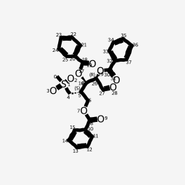 CS(=O)(=O)C[C@@H](COC(=O)c1ccccc1)[C@@H](OC(=O)c1ccccc1)[C@H](C=O)OC(=O)c1ccccc1